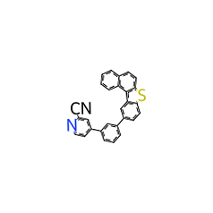 N#Cc1cc(-c2cccc(-c3ccc4sc5ccc6ccccc6c5c4c3)c2)ccn1